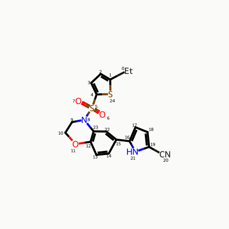 CCc1ccc(S(=O)(=O)N2CCOc3ccc(-c4ccc(C#N)[nH]4)cc32)s1